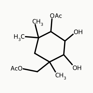 CC(=O)OCC1(C)CC(C)(C)C(OC(C)=O)C(O)C1O